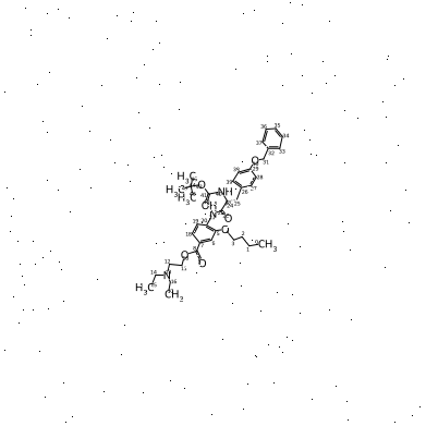 CCCCOc1cc(C(=O)OCCN(CC)CC)ccc1NC(=O)[C@@H](Cc1ccc(OCc2ccccc2)cc1)NC(=O)OC(C)(C)C